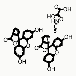 N=C=S.O=C(O)C(=O)O.O=C1OC2(c3ccc(O)cc3Oc3cc(O)ccc32)c2ccccc21.O=C1OC2(c3ccc(O)cc3Oc3cc(O)ccc32)c2ccccc21